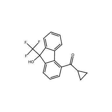 O=C(c1cccc2c1-c1ccccc1C2(O)C(F)(F)F)C1CC1